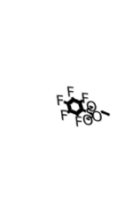 CCOS(=O)(=O)c1c(F)c(F)c(F)c(F)c1F